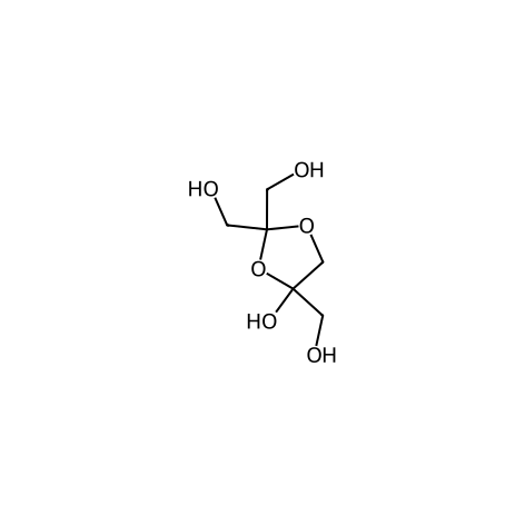 OCC1(O)COC(CO)(CO)O1